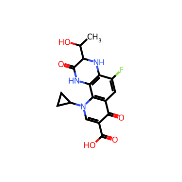 CC(O)C1Nc2c(F)cc3c(=O)c(C(=O)O)cn(C4CC4)c3c2NC1=O